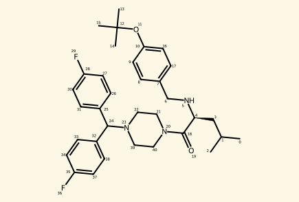 CC(C)C[C@H](NCc1ccc(OC(C)(C)C)cc1)C(=O)N1CCN(C(c2ccc(F)cc2)c2ccc(F)cc2)CC1